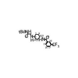 CC(C)(C)NC(=O)CN[C@H]1CC[C@H](CNC(=O)c2cccc(C(F)(F)F)c2)CC1